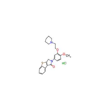 COc1ccc(N2Cc3sc4ccccc4c3C2=O)cc1OCCN1CCCCC1.Cl